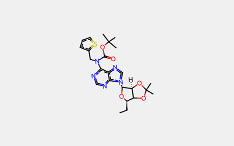 CC[C@H]1O[C@@H](n2cnc3c(N(Cc4cccs4)C(=O)OC(C)(C)C)ncnc32)[C@H]2OC(C)(C)OC12